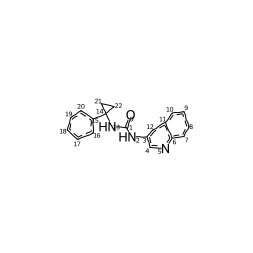 O=C(Nc1cnc2ccccc2c1)NC1(c2ccccc2)CC1